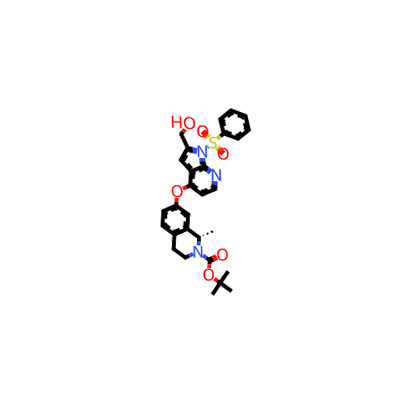 C[C@H]1c2cc(Oc3ccnc4c3cc(CO)n4S(=O)(=O)c3ccccc3)ccc2CCN1C(=O)OC(C)(C)C